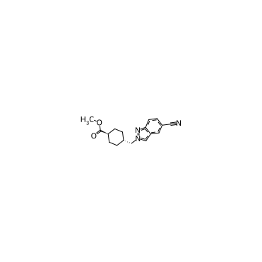 COC(=O)[C@H]1CC[C@H](Cn2cc3cc(C#N)ccc3n2)CC1